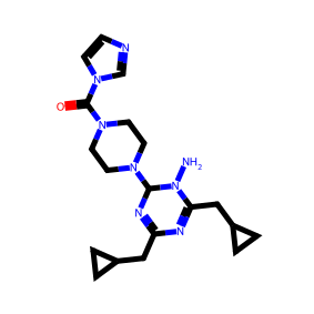 NN1C(CC2CC2)=NC(CC2CC2)=NC1N1CCN(C(=O)n2ccnc2)CC1